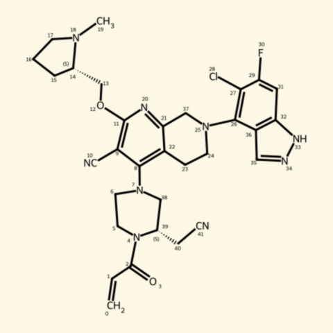 C=CC(=O)N1CCN(c2c(C#N)c(OC[C@@H]3CCCN3C)nc3c2CCN(c2c(Cl)c(F)cc4[nH]ncc24)C3)C[C@@H]1CC#N